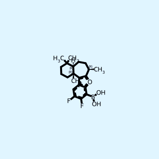 C[C@@H]1CC[C@@H]2C(C)(C)CCC[C@@]2(C)c2c1oc1c(B(O)O)c(F)c(F)cc21